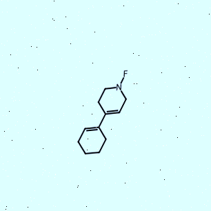 FN1CC=C(C2=CCCCC2)CC1